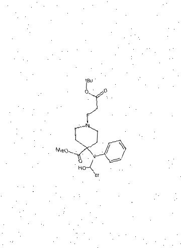 CCC(O)N(c1ccccc1)C1(C(=O)OC)CCN(CCC(=O)OC(C)(C)C)CC1